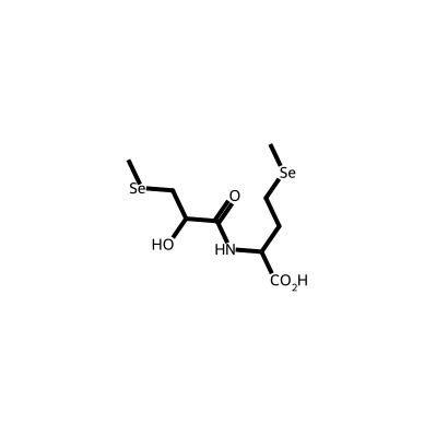 C[Se]CCC(NC(=O)C(O)C[Se]C)C(=O)O